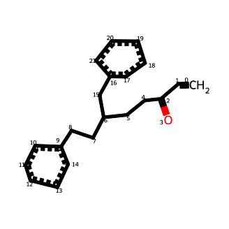 C=CC(=O)CCC(CCc1ccccc1)Cc1ccccc1